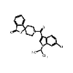 CC(C#N)n1cc(C(=O)N2CCC3(CC2)OC(=O)c2ccccc23)c2ccc(Cl)cc21